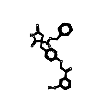 COc1cccc(C(=O)COc2ccc(C[C@]3(C(=O)OCc4ccccc4)SC(=O)NC3=O)cc2)c1